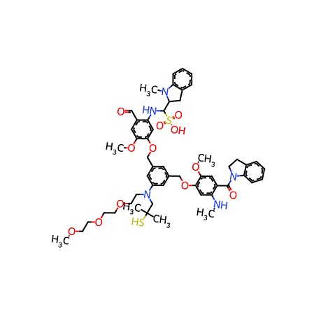 CNc1cc(OCc2cc(COc3cc(NC(C4Cc5ccccc5N4C)S(=O)(=O)O)c(C=O)cc3OC)cc(N(CCOCCOCCOC)CC(C)(C)S)c2)c(OC)cc1C(=O)N1CCc2ccccc21